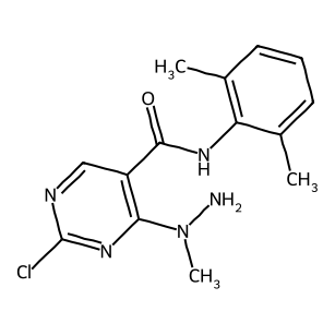 Cc1cccc(C)c1NC(=O)c1cnc(Cl)nc1N(C)N